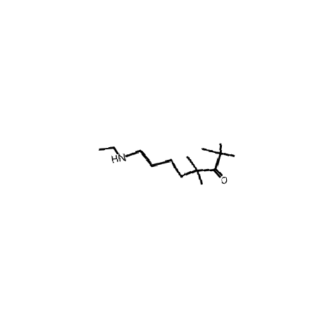 CCNCCCCC(C)(C)C(=O)C(C)(C)C